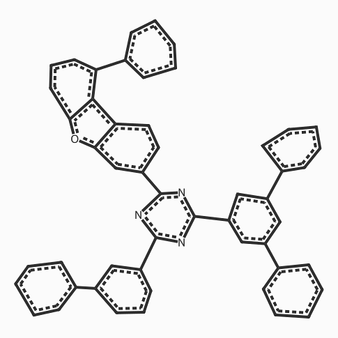 c1ccc(-c2cccc(-c3nc(-c4cc(-c5ccccc5)cc(-c5ccccc5)c4)nc(-c4ccc5c(c4)oc4cccc(-c6ccccc6)c45)n3)c2)cc1